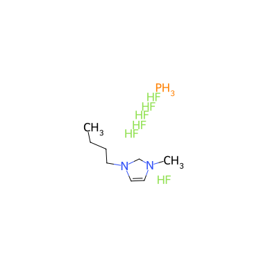 CCCCN1C=CN(C)C1.F.F.F.F.F.F.P